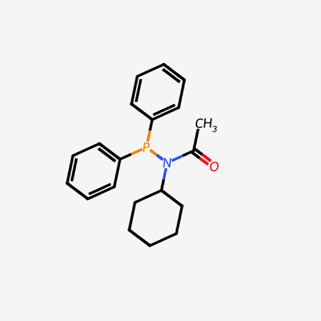 CC(=O)N(C1CCCCC1)P(c1ccccc1)c1ccccc1